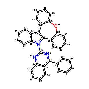 c1ccc(-c2nc(-n3c4c(c5ccccc53)-c3ccccc3Oc3ccccc3-4)nc3ccccc23)cc1